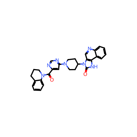 O=C(c1cc(N2CCC(n3c(=O)[nH]c4c5ccccc5ncc43)CC2)ncn1)N1CCCc2ccccc21